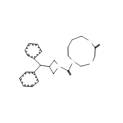 O=C1COCN(C(=O)N2CC(C(c3ccccc3)c3ccccc3)C2)CCCCN1